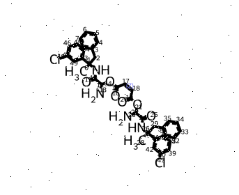 CC(Cc1ccccc1)(NC(=O)C(N)OC(=O)/C=C\C(=O)OC(N)C(=O)NC(C)(Cc1ccccc1)c1cccc(Cl)c1)c1cccc(Cl)c1